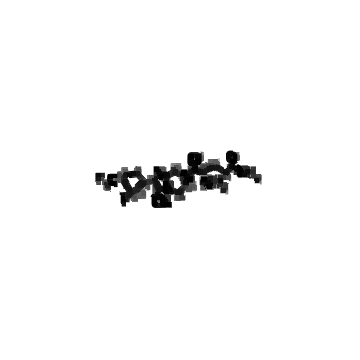 N#Cc1c(-c2ccc(C(F)(F)F)c(F)c2)nc2n1CCN(C(=O)[C@@H](N)CCC(N)=O)C2